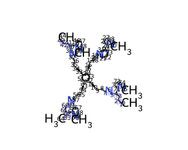 C\C=C/C=C(\C=N\CCCC#Cc1cc(C#CCCC[n+]2cccc(C3CCCN3C)c2)c(C#CCCC/N=C/C(=C\C=C/C)C2CCCN2C)cc1C#CCCC/N=C/C=C\C(=C/C)C1CCCN1C)C1CCCN1C